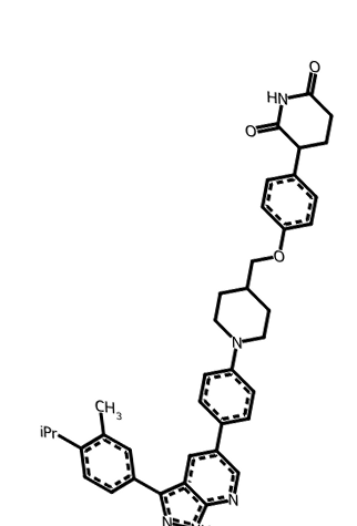 Cc1cc(-c2n[nH]c3ncc(-c4ccc(N5CCC(COc6ccc(C7CCC(=O)NC7=O)cc6)CC5)cc4)cc23)ccc1C(C)C